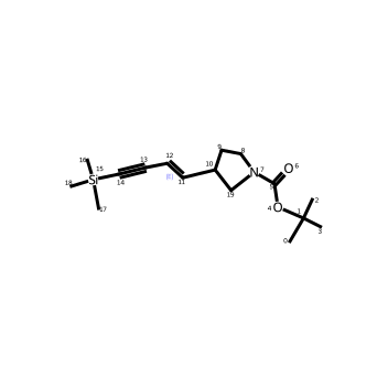 CC(C)(C)OC(=O)N1CCC(/C=C/C#C[Si](C)(C)C)C1